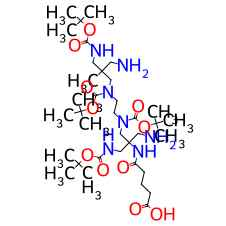 CC(CN)(CNC(=O)OC(C)(C)C)CN(CCN(CC(CN)(CNC(=O)OC(C)(C)C)NC(=O)CCCC(=O)O)C(=O)OC(C)(C)C)C(=O)OC(C)(C)C